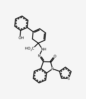 O=C1C(=NNC2(C(=O)O)C=CC=C(c3ccccc3O)C2)c2ccccc2N1c1ccsc1